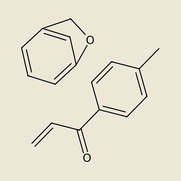 C=CC(=O)c1ccc(C)cc1.c1cc2cc(c1)OC2